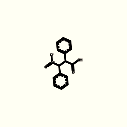 O=C(O)C([C](c1ccccc1)[N+](=O)[O-])c1ccccc1